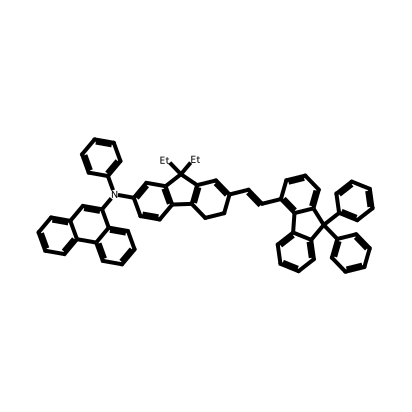 CCC1(CC)C2=C(CCC(/C=C/c3cccc4c3-c3ccccc3C4(c3ccccc3)c3ccccc3)=C2)c2ccc(N(c3ccccc3)c3cc4ccccc4c4ccccc34)cc21